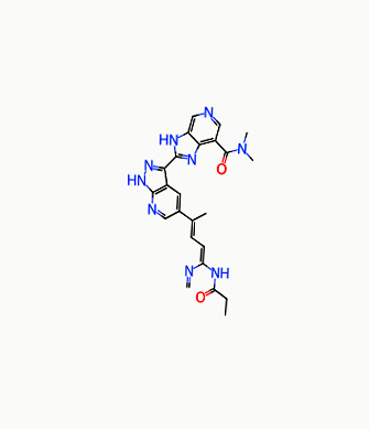 C=N/C(=C\C=C(/C)c1cnc2[nH]nc(-c3nc4c(C(=O)N(C)C)cncc4[nH]3)c2c1)NC(=O)CC